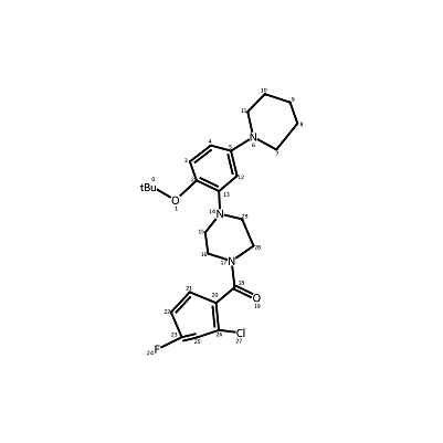 CC(C)(C)Oc1ccc(N2CCCCC2)cc1N1CCN(C(=O)c2ccc(F)cc2Cl)CC1